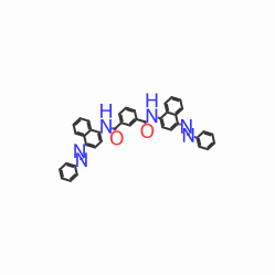 O=C(Nc1ccc(/N=N/c2ccccc2)c2ccccc12)c1cccc(C(=O)Nc2ccc(/N=N/c3ccccc3)c3ccccc23)c1